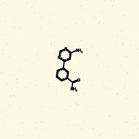 NC(=O)c1cccc(-c2cc(N)ncn2)c1